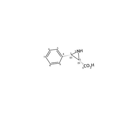 O=C(O)[C@H]1N[C@H]1c1ccccc1